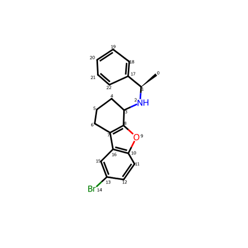 C[C@@H](NC1CCCc2c1oc1ccc(Br)cc21)c1ccccc1